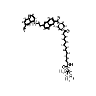 CC(C)(C)OC(=O)NCCCCCCCCCCCC(=O)N1CCN(C(=O)c2ccc3cc(CCNc4ccnc5ccc(C#N)cc45)ccc3c2)CC1